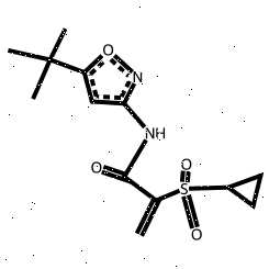 C=C(C(=O)Nc1cc(C(C)(C)C)on1)S(=O)(=O)C1CC1